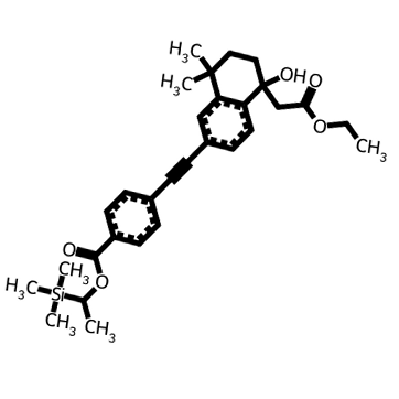 CCOC(=O)CC1(O)CCC(C)(C)c2cc(C#Cc3ccc(C(=O)OC(C)[Si](C)(C)C)cc3)ccc21